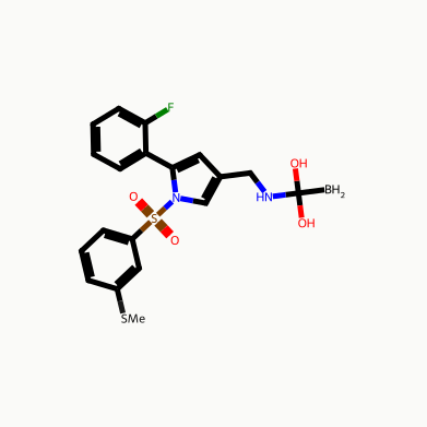 BC(O)(O)NCc1cc(-c2ccccc2F)n(S(=O)(=O)c2cccc(SC)c2)c1